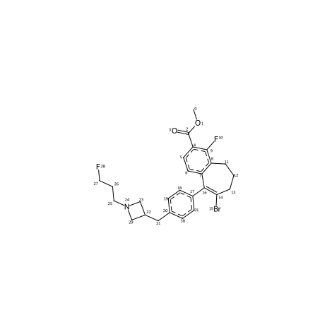 COC(=O)c1ccc2c(c1F)CCCC(Br)=C2c1ccc(CC2CN(CCCF)C2)cc1